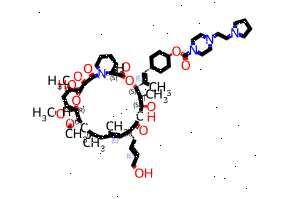 CO[C@H]1C[C@@H](C)C/C(C)=C/[C@@H](C/C=C/CO)C(=O)C[C@H](O)[C@@H](C)[C@@H](/C(C)=C/[C@H]2CC[C@H](OC(=O)N3CCN(CCN4CCCC4)CC3)CC2)OC(=O)[C@@H]2CCCCN2C(=O)C(=O)[C@]2(O)O[C@H]1[C@@H](OC)C[C@H]2C